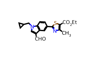 CCOC(=O)c1sc(-c2ccc3c(c2)c(C=O)cn3CC2CC2)nc1C